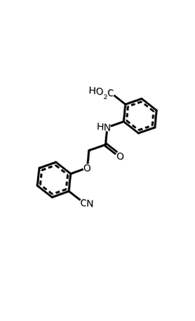 N#Cc1ccccc1OCC(=O)Nc1ccccc1C(=O)O